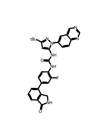 CC(C)(C)c1cc(NC(=O)Nc2ccc(-c3cccc4c3CNC4=O)cc2F)n(-c2ccc3ncncc3c2)n1